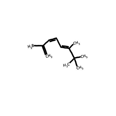 BC(=C)/C=C\C=C(/C)C(C)(C)C